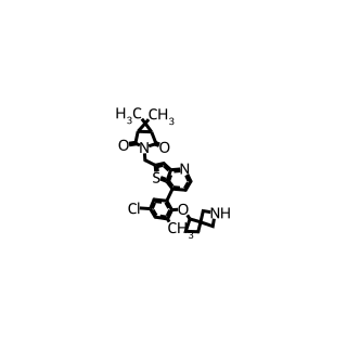 Cc1cc(Cl)cc(-c2ccnc3cc(CN4C(=O)C5C(C4=O)C5(C)C)sc23)c1OC1CCC12CNC2